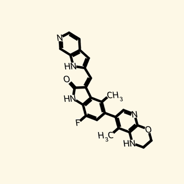 Cc1c(-c2cc(F)c3c(c2C)C(=Cc2cc4ccncc4[nH]2)C(=O)N3)cnc2c1NCCO2